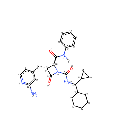 CN(C(=O)[C@@H]1[C@@H](Cc2ccnc(N)c2)C(=O)N1C(=O)NC(C1CCCCC1)C1CC1)c1ccccc1